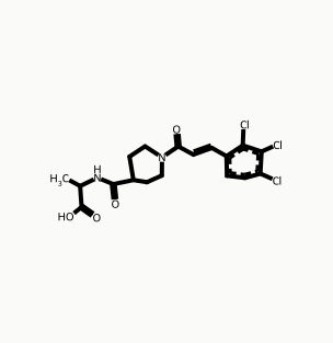 CC(NC(=O)C1CCN(C(=O)C=Cc2ccc(Cl)c(Cl)c2Cl)CC1)C(=O)O